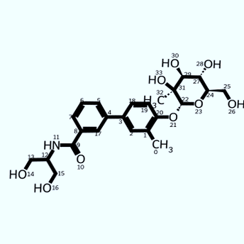 Cc1cc(-c2cccc(C(=O)NC(CO)CO)c2)ccc1O[C@H]1O[C@H](CO)[C@@H](O)[C@H](O)[C@]1(C)O